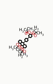 C=C(C)C(=O)Oc1ccc(-c2ccc(-c3c4ccccc4c(OC(=O)C(=C)C)c4c(OC(=O)C(=C)C)cccc34)cc2)cc1OC(=O)C(=C)C